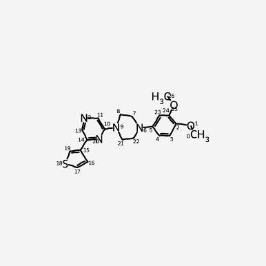 COc1ccc(N2CCN(c3cncc(-c4ccsc4)n3)CC2)cc1OC